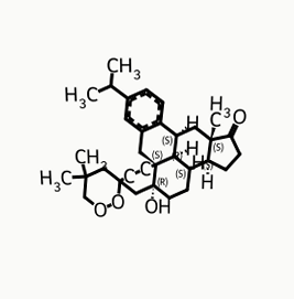 CC(C)c1ccc2c(c1)C[C@]13CCC4(CC(C)(C)COO4)C[C@]1(O)CC[C@@H]1[C@@H]3[C@@H]2C[C@]2(C)C(=O)CC[C@@H]12